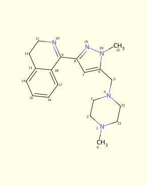 CN1CCN(Cc2cc(C3=NCCc4ccccc43)nn2C)CC1